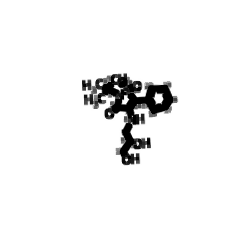 CC(C)(C)N1C(=O)C(NCC(O)CO)=C(c2ccccc2)S1(=O)=O